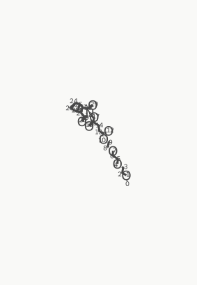 COCCOCCOCCOC(=O)CCC(=O)ON1C(=O)C2C3C=CC(C3)C2C1=O